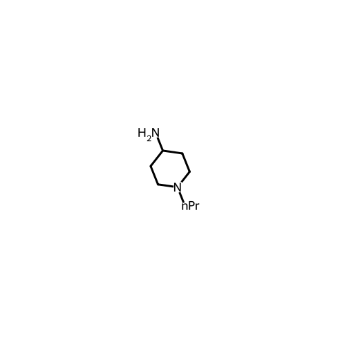 [CH2]CCN1CCC(N)CC1